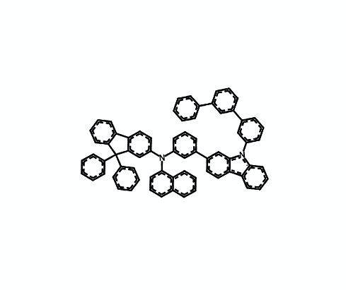 c1ccc(-c2cccc(-c3cccc(-n4c5ccccc5c5ccc(-c6cccc(N(c7ccc8c(c7)C(c7ccccc7)(c7ccccc7)c7ccccc7-8)c7cccc8ccccc78)c6)cc54)c3)c2)cc1